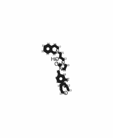 O=C1N(Cc2ccc(N3C4CCC3COC4)c(F)c2)CCN1C[C@H](O)CN1CCc2ccccc2C1